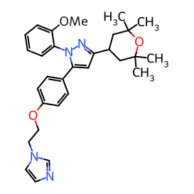 COc1ccccc1-n1nc(C2CC(C)(C)OC(C)(C)C2)cc1-c1ccc(OCCn2ccnc2)cc1